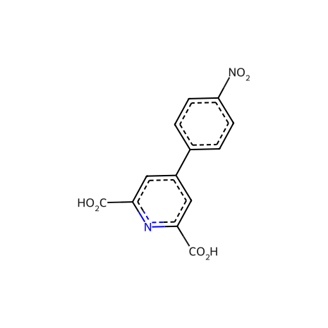 O=C(O)c1cc(-c2ccc([N+](=O)[O-])cc2)cc(C(=O)O)n1